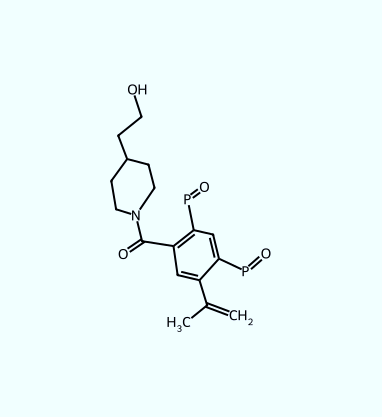 C=C(C)c1cc(C(=O)N2CCC(CCO)CC2)c(P=O)cc1P=O